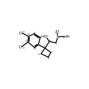 CCCN(CC)CC(O)C1(c2ccc(Cl)c(Cl)c2)CCC1